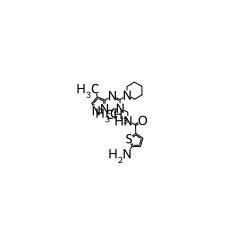 Cc1cnn(C)c1/N=C(\N(C)CNC(=O)c1ccc(N)s1)N1CCCCC1